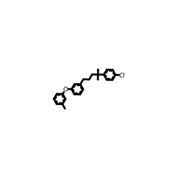 Cc1cccc(Oc2cccc(CCCC(C)(C)c3ccc(Cl)cc3)c2)c1